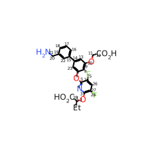 CCC(Oc1nc(Oc2cc(OCC(=O)O)cc(-c3cccc(CN)c3)c2)c(F)cc1F)C(=O)O